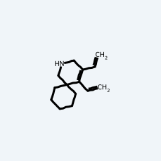 C=CC1=C(C=C)C2(CCCCC2)CNC1